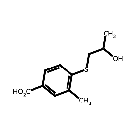 Cc1cc(C(=O)O)ccc1SCC(C)O